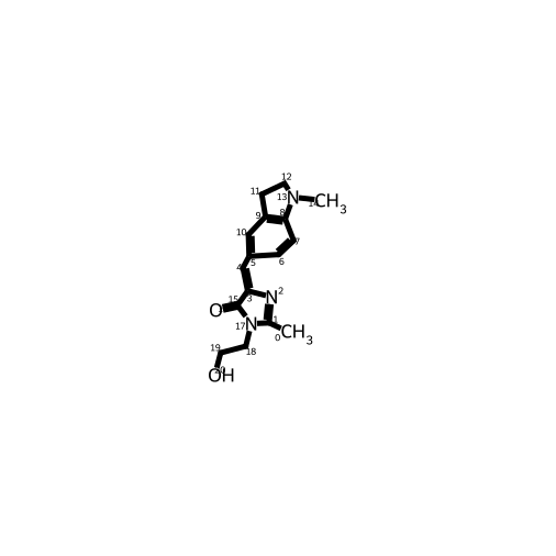 CC1=N/C(=C\c2ccc3c(c2)CCN3C)C(=O)N1CCO